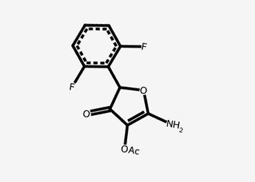 CC(=O)OC1=C(N)OC(c2c(F)cccc2F)C1=O